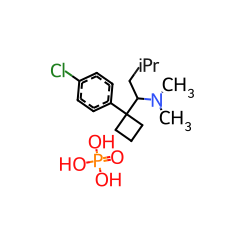 CC(C)CC(N(C)C)C1(c2ccc(Cl)cc2)CCC1.O=P(O)(O)O